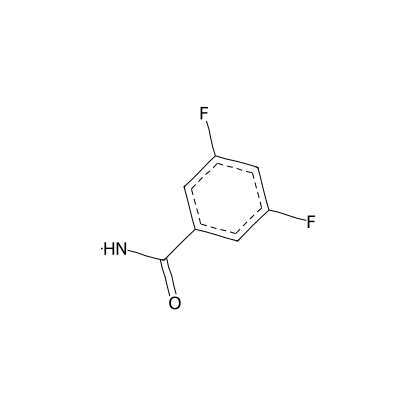 [NH]C(=O)c1cc(F)cc(F)c1